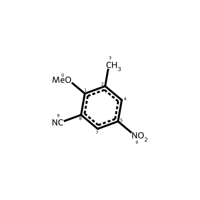 COc1c(C)cc([N+](=O)[O-])cc1C#N